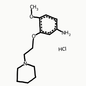 COc1ccc(N)cc1OCCN1CCCCC1.Cl